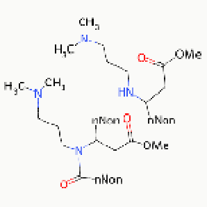 CCCCCCCCCC(=O)N(CCCN(C)C)C(CCCCCCCCC)CC(=O)OC.CCCCCCCCCC(CC(=O)OC)NCCCN(C)C